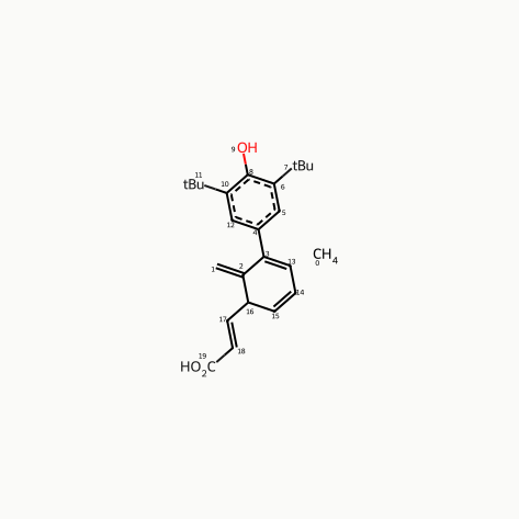 C.C=C1C(c2cc(C(C)(C)C)c(O)c(C(C)(C)C)c2)=CC=CC1C=CC(=O)O